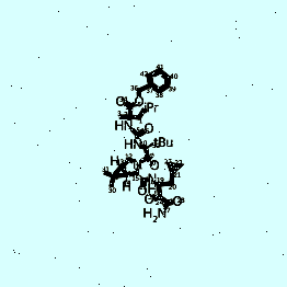 CC(C)CC(C)(NC(=O)N[C@H](C(=O)N1C[C@H]2[C@@H]([C@H]1C(=O)NC(CC1CC1)C(=O)C(N)=O)C2(C)C)C(C)(C)C)C(=O)OCc1ccccc1